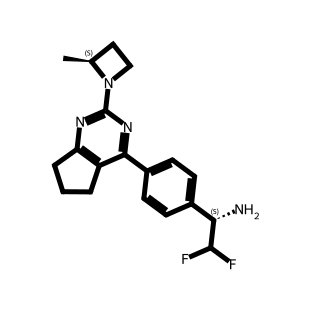 C[C@H]1CCN1c1nc2c(c(-c3ccc([C@H](N)C(F)F)cc3)n1)CCC2